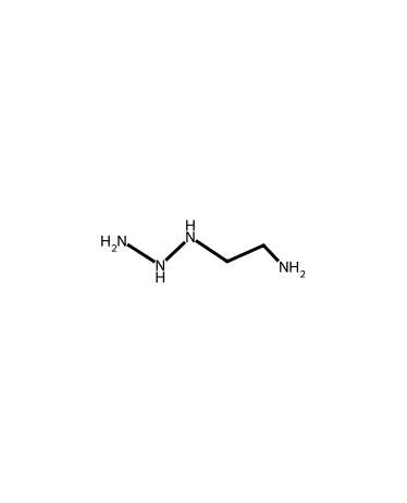 NCCNNN